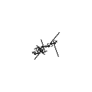 CCCCCCCCCCCCc1cc(-c2ccc(C(C)(C)C(C)(C)c3sc(C4=C5C(=O)N(CC(CC)CCCC)C(c6cc(CCCCCC)c(-c7ccc(C(C)(C)C)s7)s6)=C5C(=O)N4CC(CC)CCCC)cc3CCCCCC)s2)sc1-c1sc(C(C)(C)C)cc1CCCCCCCCCCCC